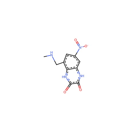 CNCc1cc([N+](=O)[O-])cc2[nH]c(=O)c(=O)[nH]c12